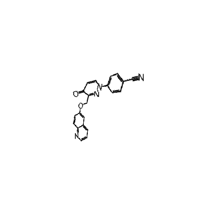 N#Cc1ccc(-n2ccc(=O)c(COc3ccc4ncccc4c3)n2)cc1